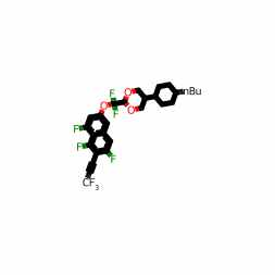 CCCCC1CCC(C2COC(C(F)(F)Oc3cc(F)c4c(F)c(C#CC(F)(F)F)c(F)cc4c3)OC2)CC1